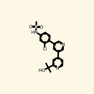 CC(C)(O)c1cc(-c2cncc(-c3ccc(NS(C)(=O)=O)cc3Cl)c2)ccn1